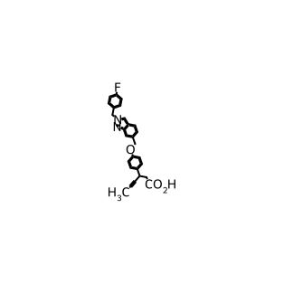 CC#CC(CC(=O)O)c1ccc(OCc2ccc3cn(Cc4ccc(F)cc4)nc3c2)cc1